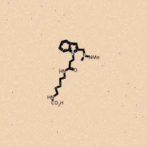 CNN(C)Cc1cc2ccccc2n1CCC(=O)NCCCCCNC(=O)O